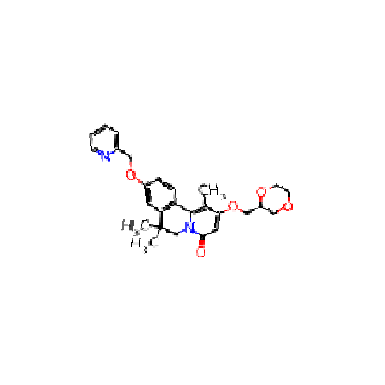 Cc1c(OC[C@@H]2COCCO2)cc(=O)n2c1-c1ccc(OCc3ccccn3)cc1C(C)(C)C2